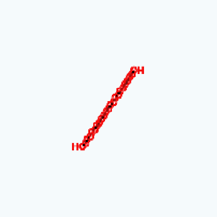 OCCOCCOCCOCCOCCOCCOCCOCCOCCOCCOCCOCCOCCOCCOCCOCCOCCOCCOCCOCCOCCOCCO